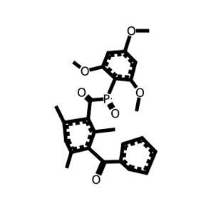 COc1cc(OC)c([P](=O)C(=O)c2c(C)cc(C)c(C(=O)c3ccccc3)c2C)c(OC)c1